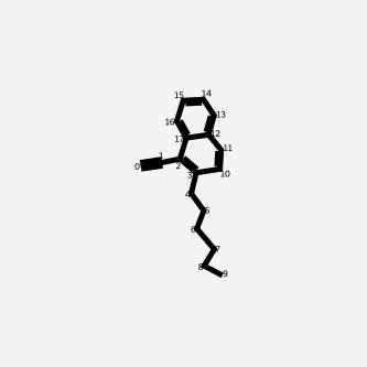 C#Cc1c(CCCCCC)ccc2ccccc12